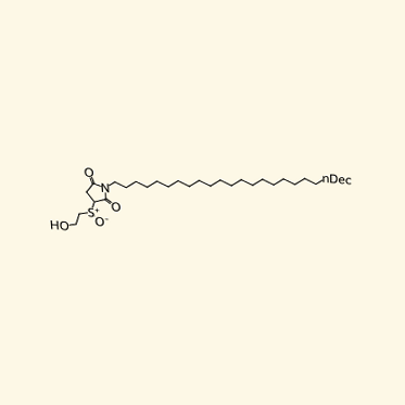 CCCCCCCCCCCCCCCCCCCCCCCCCCCCCCN1C(=O)CC([S+]([O-])CCO)C1=O